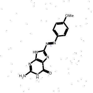 COc1ccc(/N=N/c2nc3c(=O)[nH]c(N)nc3[nH]2)cc1